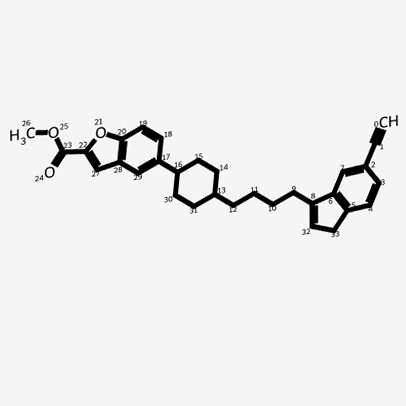 C#Cc1ccc2c(c1)C(CCCCC1CCC(c3ccc4oc(C(=O)OC)cc4c3)CC1)=CC2